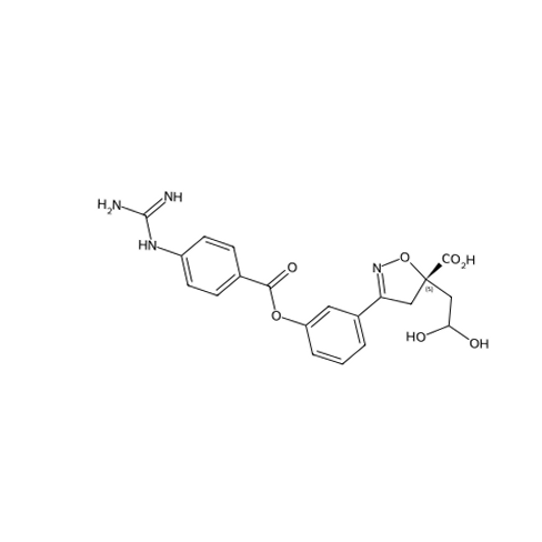 N=C(N)Nc1ccc(C(=O)Oc2cccc(C3=NO[C@@](CC(O)O)(C(=O)O)C3)c2)cc1